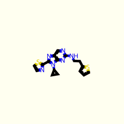 c1csc(CCNc2ncc3nc(-c4nccs4)n(C4CC4)c3n2)c1